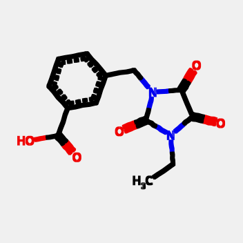 CCN1C(=O)C(=O)N(Cc2cccc(C(=O)O)c2)C1=O